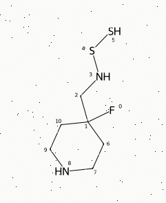 FC1(CNSS)CCNCC1